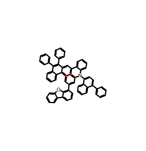 c1ccc(-c2ccc(N(c3cccc(-c4cccc5c4oc4ccccc45)c3)c3ccccc3-c3ccc4c(c3)c(-c3ccccc3)c(-c3ccccc3)c3ccccc34)c3ccccc23)cc1